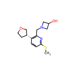 CSc1ccc([C@@H]2CCOC2)c(CN2CC(O)C2)n1